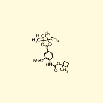 COc1cc(B2OC(C)(C)C(C)(C)O2)ccc1NC(=O)OC1(C)CCC1